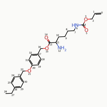 C=CCOC(=O)NCCCCC(N)C(=O)OCc1ccc(OCc2ccc(CC)cc2)cc1